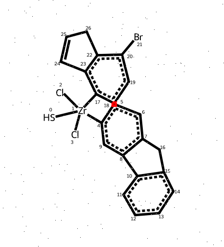 [SH][Zr]([Cl])([Cl])([c]1ccc2c(c1)-c1ccccc1C2)[c]1ccc(Br)c2c1C=CC2